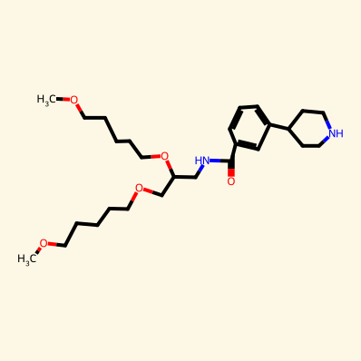 COCCCCCOCC(CNC(=O)c1cccc(C2CCNCC2)c1)OCCCCCOC